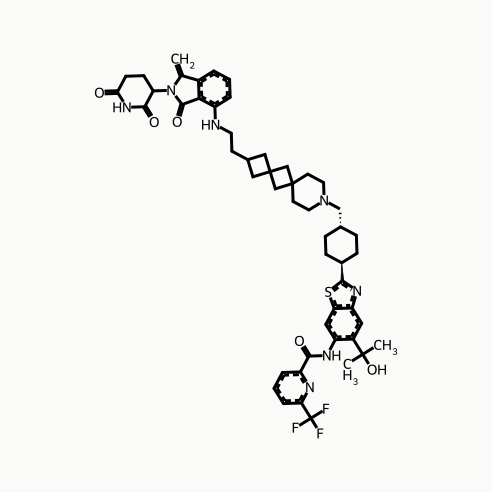 C=C1c2cccc(NCCC3CC4(C3)CC3(CCN(C[C@H]5CC[C@H](c6nc7cc(C(C)(C)O)c(NC(=O)c8cccc(C(F)(F)F)n8)cc7s6)CC5)CC3)C4)c2C(=O)N1C1CCC(=O)NC1=O